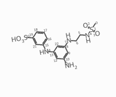 CS(=O)(=O)NCCNc1cc(N)cc(Nc2cccc(S(=O)(=O)O)c2)c1